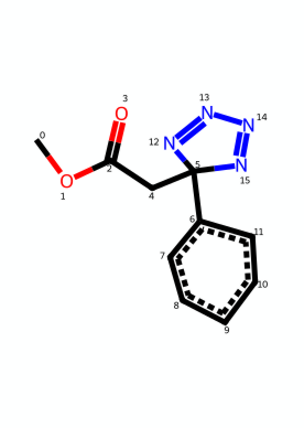 COC(=O)CC1(c2ccccc2)N=NN=N1